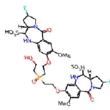 COc1cc2c(cc1OCCP(=O)(CCO)CCOc1cc3c(cc1OC)C(=O)N1CC(F)C[C@H]1C(S(=O)(=O)O)N3)NC(S(=O)(=O)O)[C@@H]1CC(F)CN1C2=O